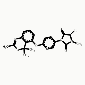 CC[C@@H]1C(=O)N(c2ccc(Oc3cccc4c3C(C)(C)OC(C)=N4)nc2)C(=O)N1C